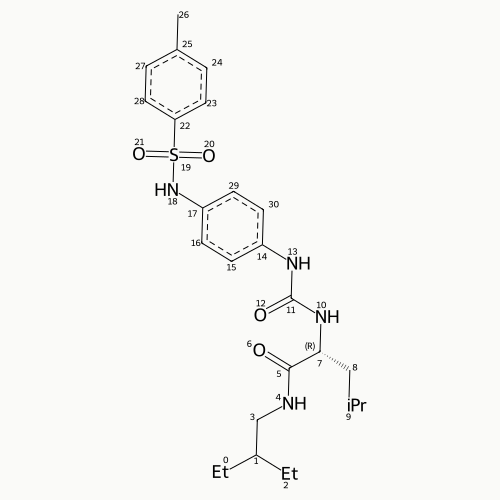 CCC(CC)CNC(=O)[C@@H](CC(C)C)NC(=O)Nc1ccc(NS(=O)(=O)c2ccc(C)cc2)cc1